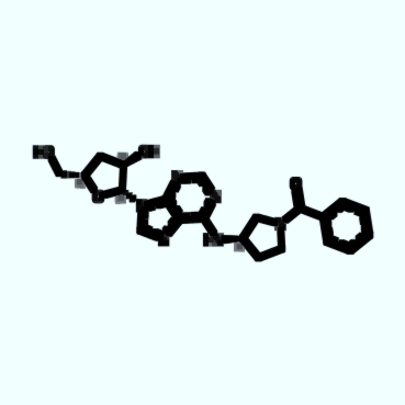 O=C(c1ccccc1)N1CC[C@@H](Nc2ncnc3c2ncn3[C@@H]2O[C@H](CO)C[C@H]2O)C1